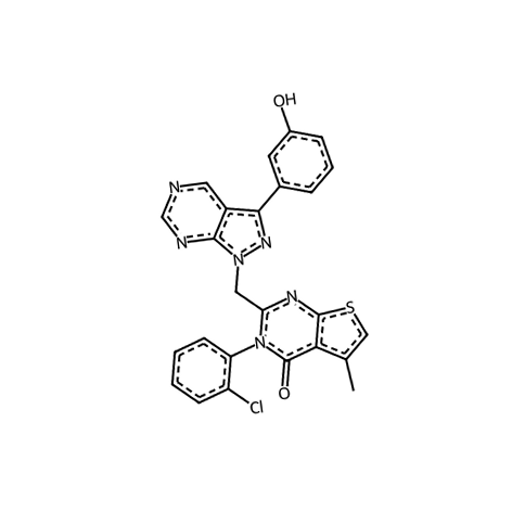 Cc1csc2nc(Cn3nc(-c4cccc(O)c4)c4cncnc43)n(-c3ccccc3Cl)c(=O)c12